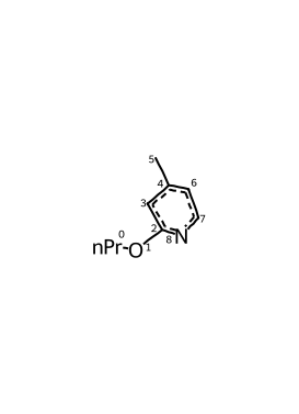 CCCOc1cc(C)ccn1